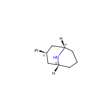 CC(C)[C@@H]1C[C@H]2CCC[C@@H](C1)N2